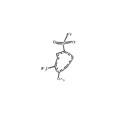 CCS(=O)(=O)c1ccc(C)c(C(F)(F)F)c1